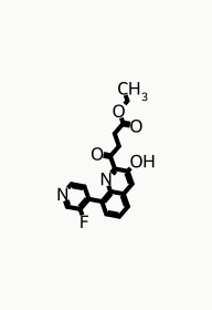 CCOC(=O)CCC(=O)c1nc2c(-c3ccncc3F)cccc2cc1O